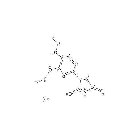 CCOc1ccc(C2SC(=O)NC2=O)cc1OCC.[Na]